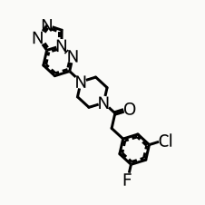 O=C(Cc1cc(F)cc(Cl)c1)N1CCN(c2ccc3nncn3n2)CC1